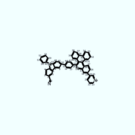 N#Cc1ccc2c(c1)c1cc(-c3ccc(-c4nc5cc(-c6cccnc6)ccc5c5c6ccccc6c6ccccc6c45)cc3)ccc1n2-c1ccccc1